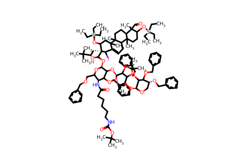 CC[Si](CC)(CC)OC1CCC2(C)C(CCC3(C)C2CC=C2C(I)[C@@](CCC(C)(C)C)(C(O)O[C@@H]4OC(COCc5ccccc5)[C@H](NC(=O)CCCCCNC(=O)OC(C)(C)C)C(OCc5ccccc5)C4O[C@@H]4OC(C)[C@H](O[C@@H]5OC[C@@H](OCc6ccccc6)C(OCc6ccccc6)C5OCc5ccccc5)C5OC(C)(C)OC54)C(O[Si](CC)(CC)CC)CC23C)C1(C)C=O